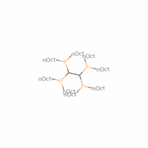 CCCCCCCCP(CCCCCCCC)C(C(P(CCCCCCCC)CCCCCCCC)P(CCCCCCCC)CCCCCCCC)P(CCCCCCCC)CCCCCCCC